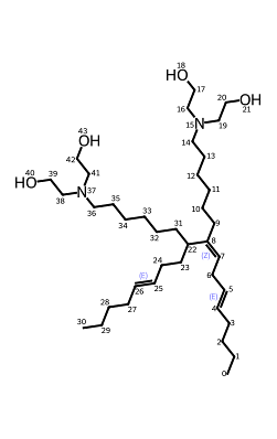 CCCC/C=C/C/C=C(/CCCCCCN(CCO)CCO)C(CC/C=C/CCCC)CCCCCCN(CCO)CCO